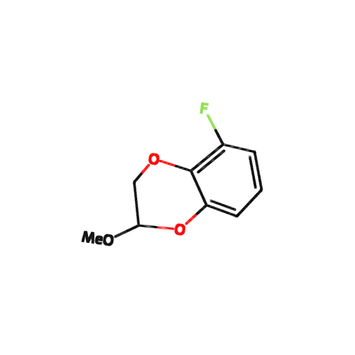 COC1COc2c(F)cccc2O1